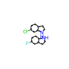 Clc1ccc2cc[nH]c2c1.Fc1ccc2[nH]ccc2c1